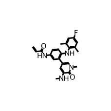 C=CC(=O)Nc1ccc(Nc2c(C)cc(F)cc2C)c(-c2cc(NC)c(=O)n(C)c2)c1